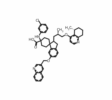 C[C@@H](COc1ccnc2c1[C@H](C)CCC2)CC1Cc2ccc(OCc3cnc4ccccc4c3)cc2C12CCC(Nc1cccc(Cl)c1)(C(=O)O)CC2